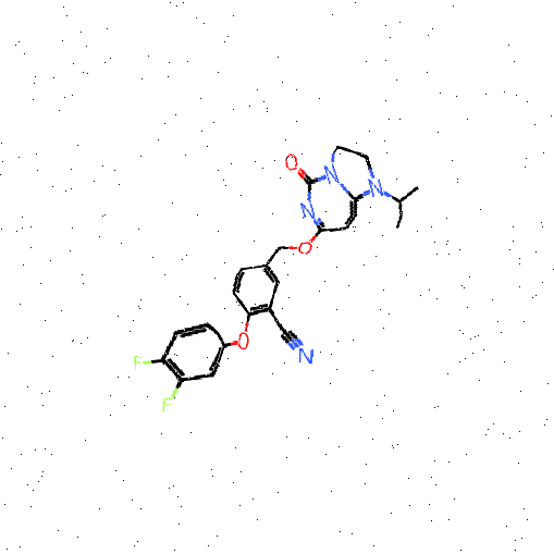 CC(C)N1CCn2c1cc(OCc1ccc(Oc3ccc(F)c(F)c3)c(C#N)c1)nc2=O